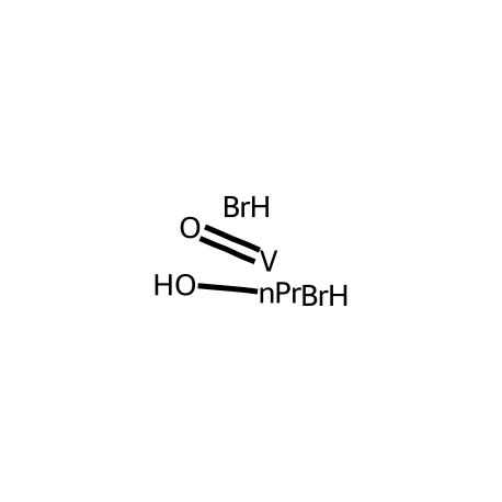 Br.Br.CCCO.[O]=[V]